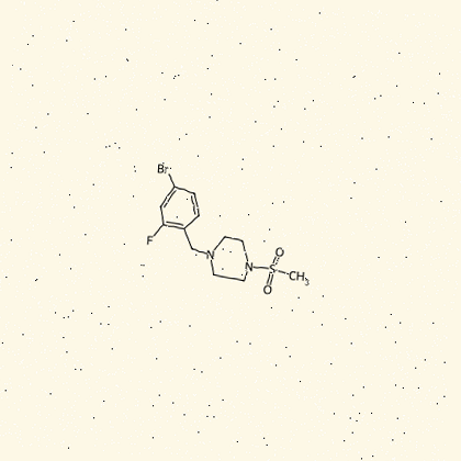 CS(=O)(=O)N1CCN(Cc2ccc(Br)cc2F)CC1